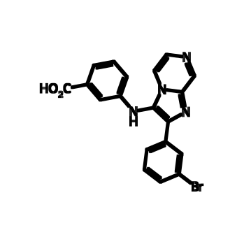 O=C(O)c1cccc(Nc2c(-c3cccc(Br)c3)nc3cnccn23)c1